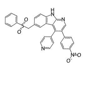 O=[N+]([O-])c1ccc(-c2cnc3[nH]c4ccc(CS(=O)(=O)c5ccccc5)cc4c3c2-c2ccncc2)cc1